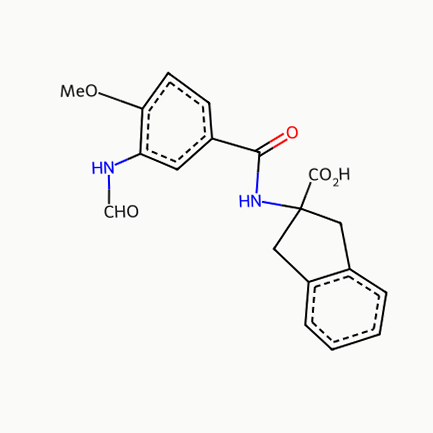 COc1ccc(C(=O)NC2(C(=O)O)Cc3ccccc3C2)cc1NC=O